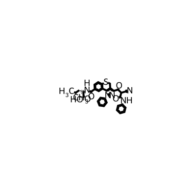 CC(C)C[C@H](NC(=O)c1ccc2c(c1)-c1c(c(C(=O)C(C#N)C(=O)Nc3ccccc3)nn1-c1ccccc1)CS2)C(=O)O